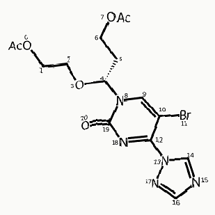 CC(=O)OCCO[C@H](CCOC(C)=O)n1cc(Br)c(-n2cncn2)nc1=O